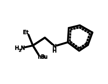 CCCCC(N)(CC)CNc1ccccc1